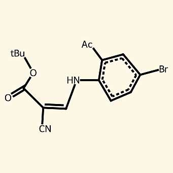 CC(=O)c1cc(Br)ccc1NC=C(C#N)C(=O)OC(C)(C)C